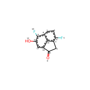 O=C1Cc2c(F)ccc3c(F)c(O)cc1c23